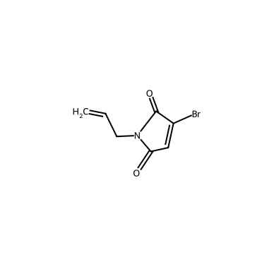 C=CCN1C(=O)C=C(Br)C1=O